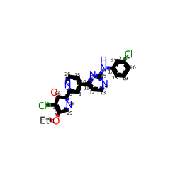 CCOC1=C(Cl)C(=O)C(c2cc(-c3ccnc(Nc4cccc(Cl)c4)n3)ccn2)N=C1